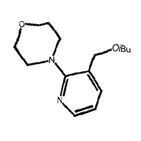 CC(C)COCc1cccnc1N1CCOCC1